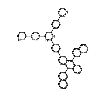 c1cncc(-c2ccc(-c3cc(-c4ccc(-c5cccnc5)cc4)nc(-c4ccc(-c5ccc6c(-c7ccc8ccccc8c7)c7ccccc7c(-c7ccc8ccccc8c7)c6c5)cc4)n3)cc2)c1